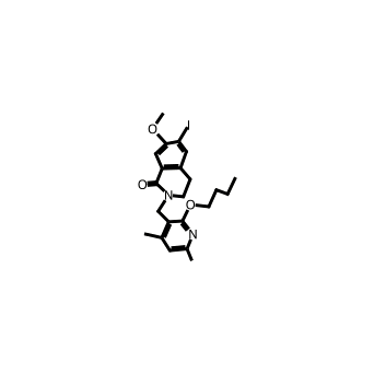 CCCCOc1nc(C)cc(C)c1CN1CCc2cc(I)c(OC)cc2C1=O